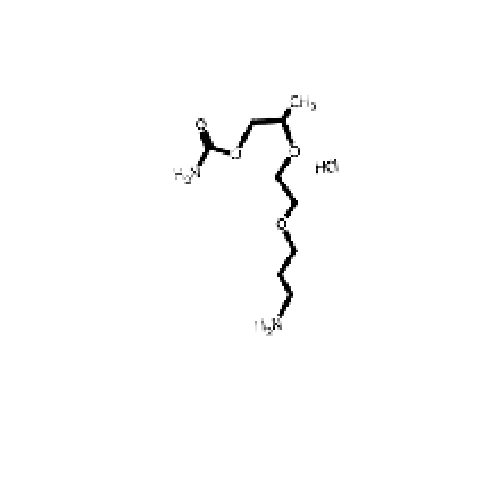 CC(COC(N)=O)OCCOCCCN.Cl